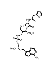 CO[C@@H](CCn1cnc2c(N)ncnc21)COS(=O)(=O)NC/C(CS)=C(\C(=O)O)N1C(=O)[C@@H](NC(=O)Cc2cccs2)[C@H]1C